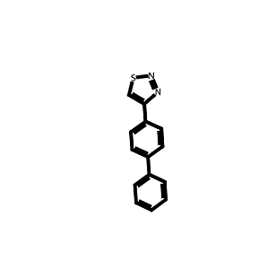 [c]1ccc(-c2ccc(-c3csnn3)cc2)cc1